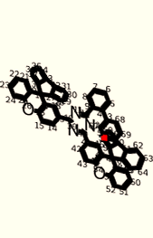 c1ccc(-c2ccccc2-c2nc(-c3ccc4c(c3)C3(c5ccccc5O4)c4ccccc4-c4ccccc43)nc(-c3ccc4c(c3)C3(c5ccccc5O4)c4ccccc4-c4ccccc43)n2)cc1